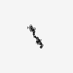 Nc1ncnc2c1C(c1ccc(Oc3ccccc3)cc1)=N/[N+]2=C/C1CCN(C2CN(CC3CN(c4ccc5c(c4)C(=O)N(C4CCC(=O)NC4=O)C5=O)C3)C2)CC1